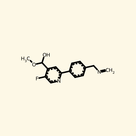 C=NCc1ccc(-c2cc(C(O)OC)c(F)cn2)cc1